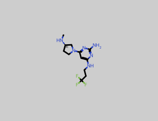 CN[C@@H]1CCN(c2cc(NCCC(F)(F)F)nc(N)n2)C1